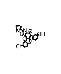 O=C(c1noc(-c2ccccn2)n1)c1c(Cl)n(Cc2ccc(Cl)cc2)c2ccc(O)cc12